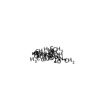 C=CCNC(=O)C(=O)C(NC(=O)[C@@H]1[C@@H]2[C@H](CN1C(=O)[C@@H](NC(=O)N[C@H](CN(C)S(=O)(=O)N(C)C1CC1)C(C)(C)C)C(C)(C)C)C2(C)C)C1CC1